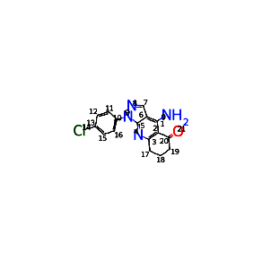 Nc1c2c(nc3c1cnn3-c1ccc(Cl)cc1)CCCC2=O